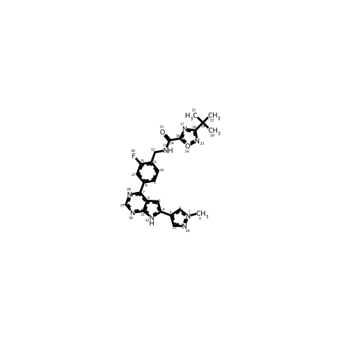 Cn1cc(-c2cc3c(-c4ccc(CNC(=O)c5nc(C(C)(C)C)no5)c(F)c4)ncnc3[nH]2)cn1